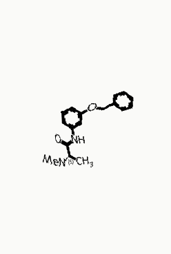 CN[C@@H](C)C(=O)Nc1cccc(OCc2ccccc2)c1